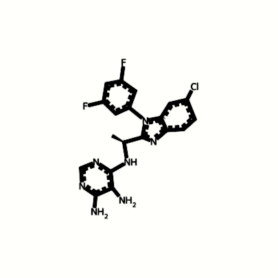 C[C@H](Nc1ncnc(N)c1N)c1nc2ccc(Cl)cc2n1-c1cc(F)cc(F)c1